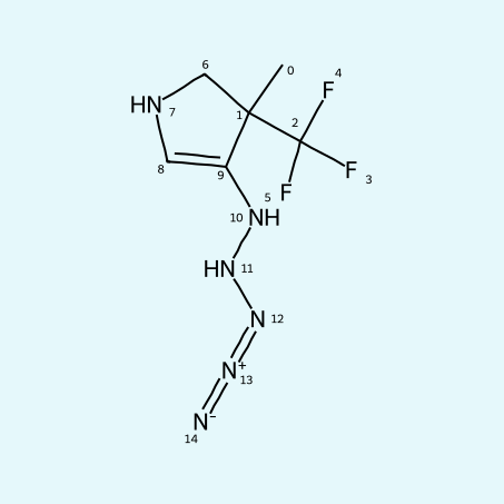 CC1(C(F)(F)F)CNC=C1NNN=[N+]=[N-]